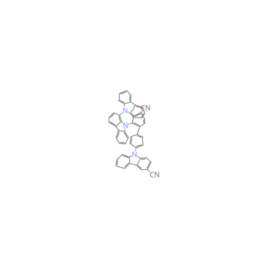 N#Cc1ccc(-c2ccc(-n3c4ccccc4c4cc(C#N)ccc43)cc2)c(-n2c3ccccc3c3cccc(-n4c5ccccc5c5ccccc54)c32)c1